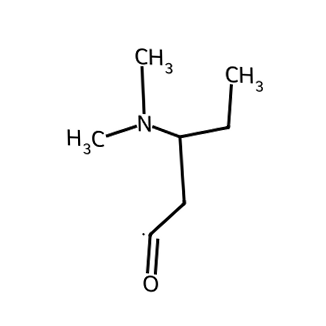 CCC(C[C]=O)N(C)C